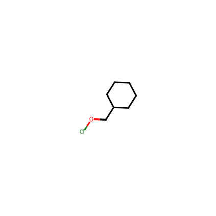 ClOCC1CCCCC1